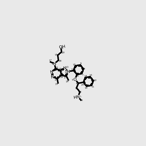 CNCCC(Oc1ccccc1-n1nc2c(N(C)CCCO)nnc(C)c2c1C)c1ccccc1